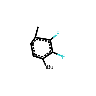 CCC(C)c1ccc(C)c(F)c1F